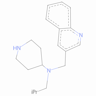 CC(C)CN(Cc1cnc2ccccc2c1)C1CCNCC1